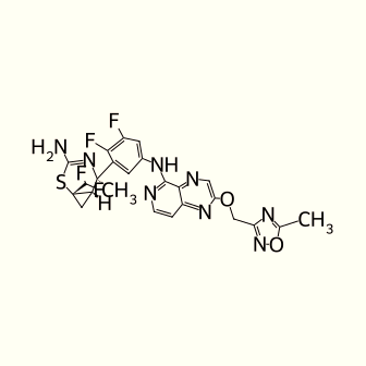 Cc1nc(COc2cnc3c(Nc4cc(F)c(F)c([C@]5(C)N=C(N)S[C@@]6(C(F)F)C[C@@H]56)c4)nccc3n2)no1